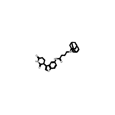 O=C1CCC(c2coc3ccc(NC(=O)CCCNC45CC6CC(CC(C6)C4)C5)cc23)C(=O)N1